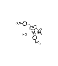 Cl.NC(=O)C1CCN(CCc2ccc([N+](=O)[O-])cc2)C1(CCc1ccc([N+](=O)[O-])cc1)C(N)=O